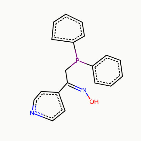 ON=C(CP(c1ccccc1)c1ccccc1)c1ccncc1